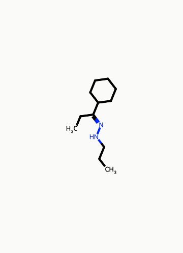 CCCNN=C(CC)C1CCCCC1